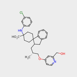 C[C@@H](COc1ccnc(CO)c1)CC1Cc2ccccc2C12CCC(Nc1cccc(Cl)c1)(C(=O)O)CC2